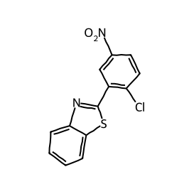 O=[N+]([O-])c1ccc(Cl)c(-c2nc3ccccc3s2)c1